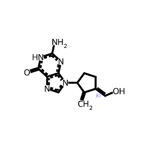 C=C1/C(=C/O)CCC1n1cnc2c(=O)[nH]c(N)nc21